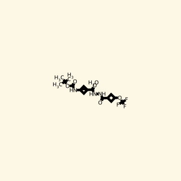 CC(C)(C)OC(=O)NC12CC(C(=O)NNC(=O)C3CC(OC(F)(F)F)C3)(C1)C2.O